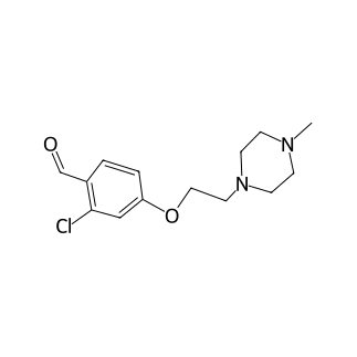 CN1CCN(CCOc2ccc(C=O)c(Cl)c2)CC1